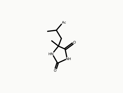 CC(=O)C(C)CC1(C)NC(=O)NC1=O